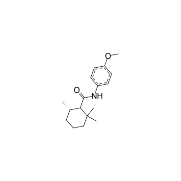 COc1ccc(NC(=O)C2[C@@H](C)CCCC2(C)C)cc1